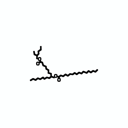 CCCCCCCCCCCCCCCCCC(=O)OCC(CCCCCCCCC)CCCCCCCC(=O)OCC(CC)CCCC